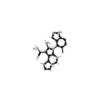 Cc1ccc2[nH]ncc2c1-n1c(N)c(C(N)=O)c2c1ncn1ccnc21